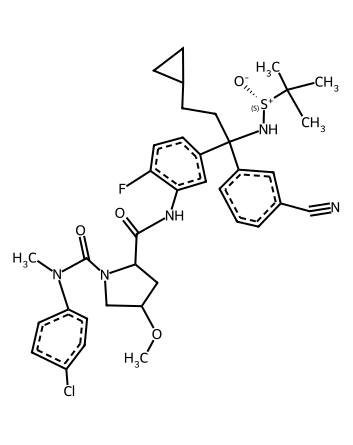 COC1CC(C(=O)Nc2cc(C(CCC3CC3)(N[S@+]([O-])C(C)(C)C)c3cccc(C#N)c3)ccc2F)N(C(=O)N(C)c2ccc(Cl)cc2)C1